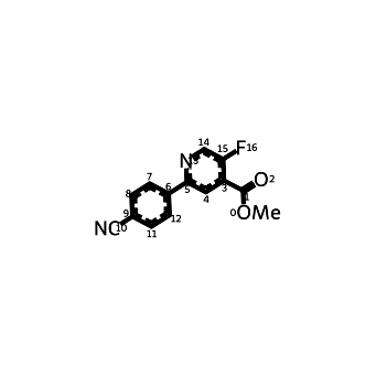 COC(=O)c1cc(-c2ccc(C#N)cc2)ncc1F